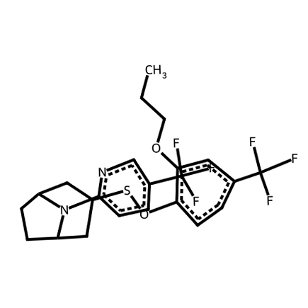 CCCOc1cc(C(F)(F)F)ccc1OSC1CC2CCC(C1)N2c1ccc(C(F)(F)F)cn1